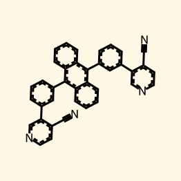 N#Cc1ccncc1-c1cccc(-c2c3ccccc3c(-c3cccc(-c4cnccc4C#N)c3)c3ccccc23)c1